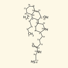 CCCCC1[C@H](C2CCC(CCCC(=O)NCCS)PC2)[C@@H](O)C=C2CCCC[C@@]21C